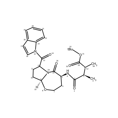 C[C@@H](C(=O)N[C@H]1CCO[C@H]2CCC(C(=O)n3ccc4ccccc43)N2C1=O)N(C)C(=O)OC(C)(C)C